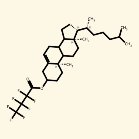 CC(C)CCC[C@@H](C)[C@H]1CCC2C3CC=C4CC(OC(=O)C(F)(F)C(F)(F)C(F)(F)F)CC[C@]4(C)C3CC[C@@]21C